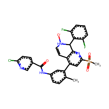 Cc1ccc(NC(=O)c2ccc(Cl)nc2)cc1-c1cc(S(C)(=O)=O)nc2c1C=C[NH+]([O-])C2c1c(F)cccc1F